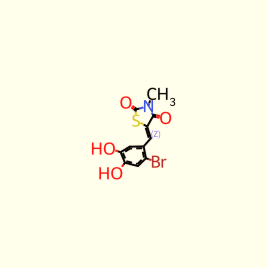 CN1C(=O)S/C(=C\c2cc(O)c(O)cc2Br)C1=O